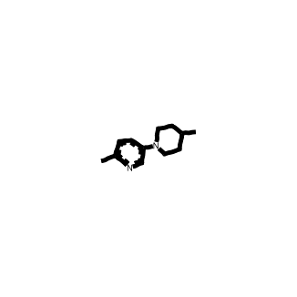 Cc1ccc(N2CCC(C)CC2)cn1